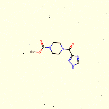 CC(C)(C)OC(=O)N1CCN(C(=O)c2nc[nH]n2)CC1